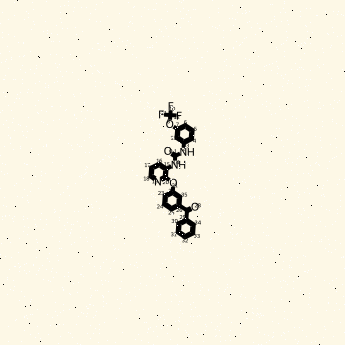 O=C(Nc1cccc(OC(F)(F)F)c1)Nc1cccnc1Oc1cccc(C(=O)c2ccccc2)c1